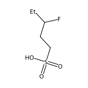 CCC(F)CCS(=O)(=O)O